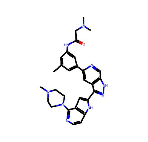 Cc1cc(NC(=O)CN(C)C)cc(-c2cc3c(-c4cc5c(N6CCN(C)CC6)nccc5[nH]4)n[nH]c3cn2)c1